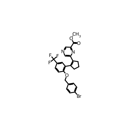 COC(=O)c1cncc(C2=C(c3cc(C(F)(F)F)ccc3OCc3ccc(Br)cc3)CCC2)n1